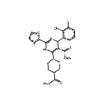 COC(=O)C1=C(C2CCC(C(=O)OC)CC2)NC(c2nccs2)=NC1c1cccc(F)c1Cl